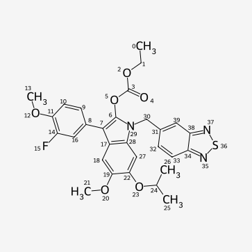 CCOC(=O)Oc1c(-c2ccc(OC)c(F)c2)c2cc(OC)c(OC(C)C)cc2n1Cc1ccc2nsnc2c1